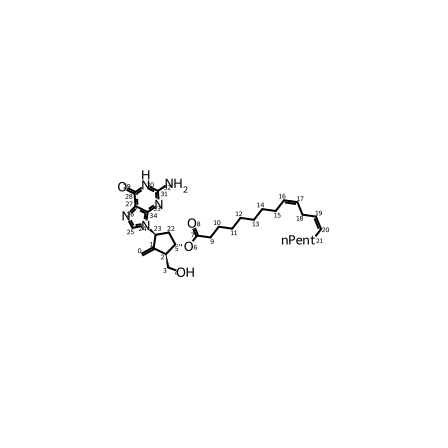 C=C1[C@H](CO)[C@@H](OC(=O)CCCCCCC/C=C\C/C=C\CCCCC)C[C@@H]1n1cnc2c(=O)[nH]c(N)nc21